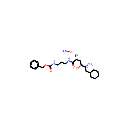 CC(C)[C@H](C[C@H](O)[C@@H](N)CC1CCCCC1)C(=O)NCCCNC(=O)OCc1ccccc1.NO